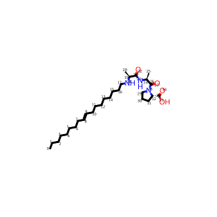 CCCCCCCCC=CCCCCCCCCN[C@@H](C)C(=O)N[C@@H](C)C(=O)N1CCC[C@H]1C(=O)O